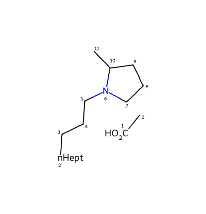 CC(=O)O.CCCCCCCCCCN1CCCC1C